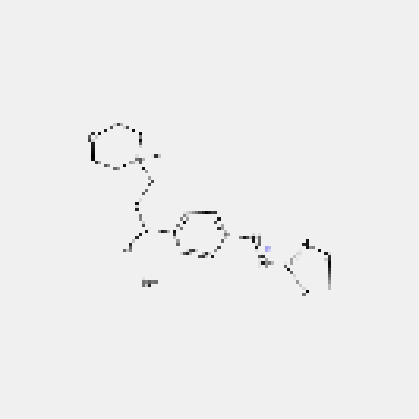 CCN(CC[N+]1(C)CCOCC1)c1ccc(/N=N/c2nccs2)cc1.[Br-]